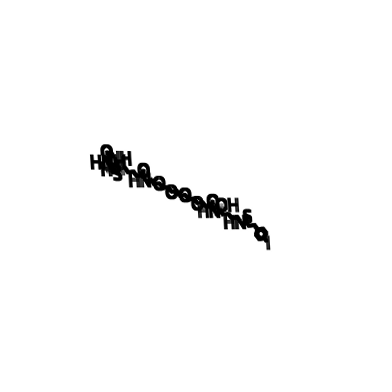 O=C(CCCC[C@H]1SC[C@H]2NC(=O)N[C@H]21)NCCOCCOCCOCCOCCC(=O)N[C@H](O)CCCCNC(=S)CCc1ccc(I)cc1